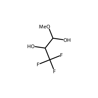 COC(O)C(O)C(F)(F)F